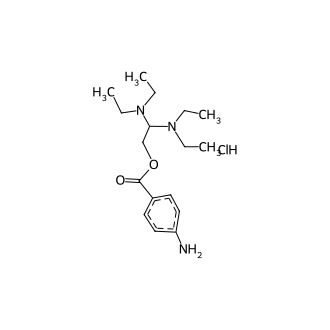 CCN(CC)C(COC(=O)c1ccc(N)cc1)N(CC)CC.Cl